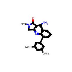 CCCN1Cc2nc3c(-c4cc(OC)cc(OC)c4)cccc3c(N)c2C1=O